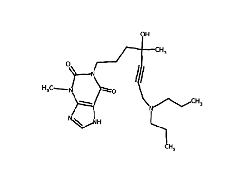 CCCN(CC#CC(C)(O)CCCn1c(=O)c2[nH]cnc2n(C)c1=O)CCC